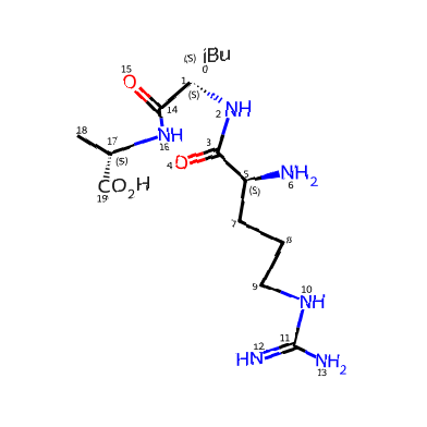 CC[C@H](C)[C@H](NC(=O)[C@@H](N)CCCNC(=N)N)C(=O)N[C@@H](C)C(=O)O